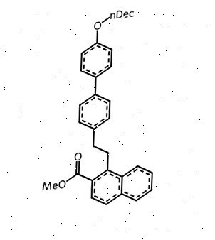 CCCCCCCCCCOc1ccc(-c2ccc(CCc3c(C(=O)OC)ccc4ccccc34)cc2)cc1